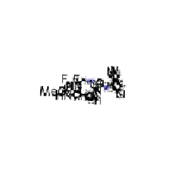 COC(=O)Nc1ccc2c(c1)NC(C(F)(F)F)C/C=C/C[C@H](NC(=O)/C=C/c1cc(Cl)ccc1-n1cnnn1)c1cc-2ccn1